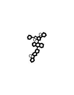 c1ccc(C2Cc3c(c(-c4c5ccccc5c(-c5ccc6cc7c(cc6c5)oc5ccccc57)c5ccccc45)cc4c3oc3ccccc34)O2)cc1